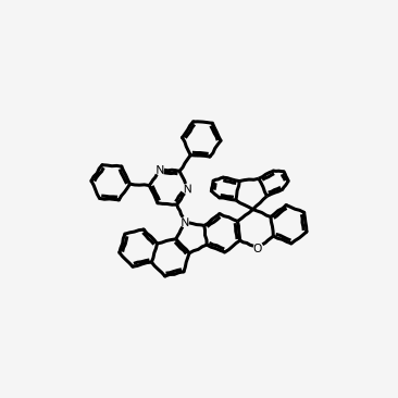 c1ccc(-c2cc(-n3c4cc5c(cc4c4ccc6ccccc6c43)Oc3ccccc3C53c4ccccc4-c4ccccc43)nc(-c3ccccc3)n2)cc1